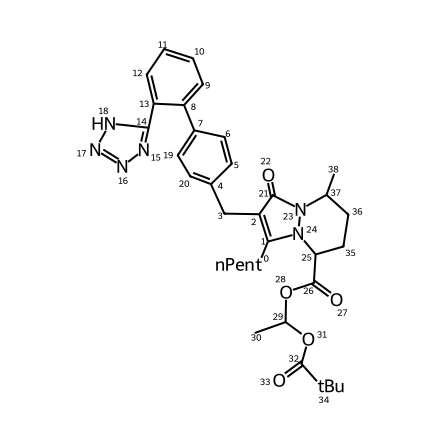 CCCCCc1c(Cc2ccc(-c3ccccc3-c3nnn[nH]3)cc2)c(=O)n2n1C(C(=O)OC(C)OC(=O)C(C)(C)C)CCC2C